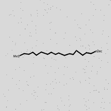 CCCCCCCCCCCCCCCCCCCCCCCCCCSC